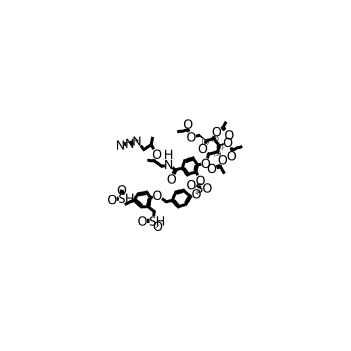 CC(=O)OC[C@@H]1OC(Oc2ccc(C(=O)NCC(C)OC(C)CN=[N+]=[N-])cc2OS(=O)(=O)Oc2ccc(COc3ccc(C[SH](=O)=O)cc3C[SH](=O)=O)cc2)[C@@H](OC(C)=O)[C@H](OC(C)=O)[C@@H]1OC(C)=O